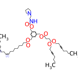 CCCCC#CCCOC(CCC(=O)OCc1cc(COC(=O)CCCCCCC/C=C\C/C=C\CCCCC)cc(COC(=O)NCCN2CCCC2)c1)OCCC#CCCCC